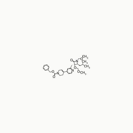 COCO[C@@]1(Cc2cc(C3=CCN(C(=O)OCc4ccccc4)CC3)ccn2)C(=O)N(COC)[C@H]1CC(C)C